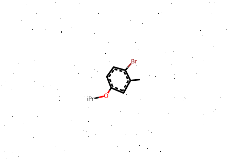 Cc1cc(OC(C)C)ccc1Br